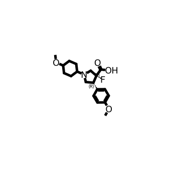 COc1ccc([C@@H]2CN(C3CCC(OC)CC3)C[C@@]2(F)C(=O)O)cc1